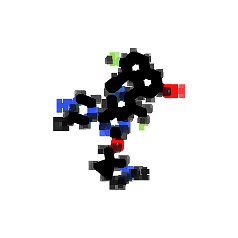 C#Cc1c(F)ccc2cc(O)cc(-c3ncc4c(N5CCNC(CC)C5)nc(OCC5(CN(CC)CC)CC5)nc4c3CF)c12